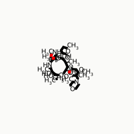 CC[C@H]1OC(=O)[C@H](C)[C@@H](O[C@H]2C[C@@](C)(OC)C(CN3CCOCC3)[C@H](C)O2)[C@H](C)[C@@H](O[C@@H]2O[C@H](C)CC[C@H]2OC(NC)C(F)(F)F)[C@](C)(O)C[C@@H](C)CN[C@H](C)[C@@H](O)[C@]1(C)O